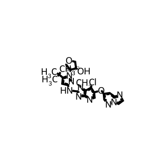 Cn1c(Nc2cc(C(C)(C)C)n([C@@H]3COC[C@H]3O)n2)nc2ncc(Oc3cnn4ccnc4c3)c(Cl)c21